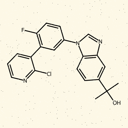 CC(C)(O)c1ccc2c(c1)ncn2-c1ccc(F)c(-c2cccnc2Cl)c1